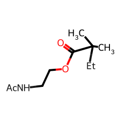 CCC(C)(C)C(=O)OCCNC(C)=O